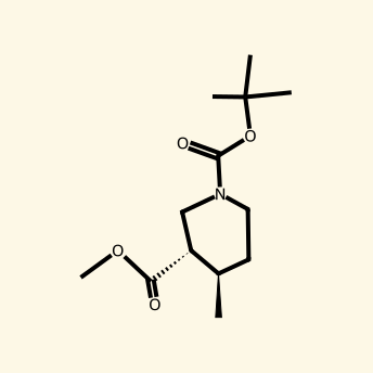 COC(=O)[C@@H]1CN(C(=O)OC(C)(C)C)CC[C@H]1C